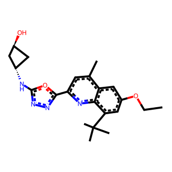 CCOc1cc(C(C)(C)C)c2nc(-c3nnc(N[C@H]4C[C@H](O)C4)o3)cc(C)c2c1